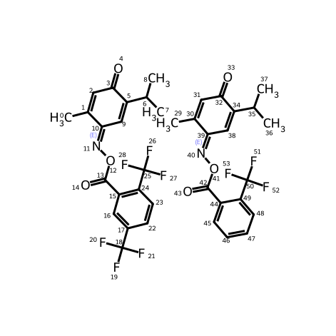 CC1=CC(=O)C(C(C)C)=C/C1=N\OC(=O)c1cc(C(F)(F)F)ccc1C(F)(F)F.CC1=CC(=O)C(C(C)C)=C/C1=N\OC(=O)c1ccccc1C(F)(F)F